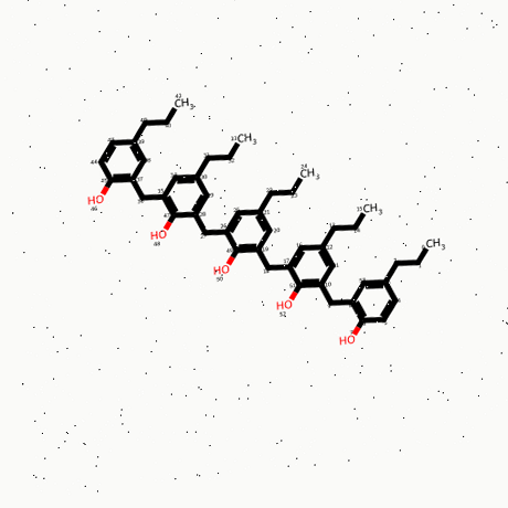 CCCc1ccc(O)c(Cc2cc(CCC)cc(Cc3cc(CCC)cc(Cc4cc(CCC)cc(Cc5cc(CCC)ccc5O)c4O)c3O)c2O)c1